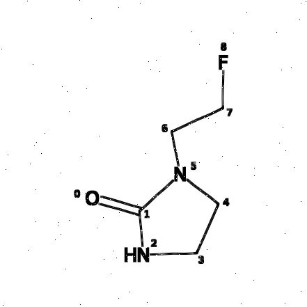 O=C1NCCN1CCF